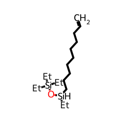 C=CCCCCCCCC[SiH](CC)O[Si](CC)(CC)CC